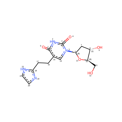 O=c1[nH]c(=O)n([C@H]2C[C@H](O)[C@@H](CO)O2)cc1CCc1ncc[nH]1